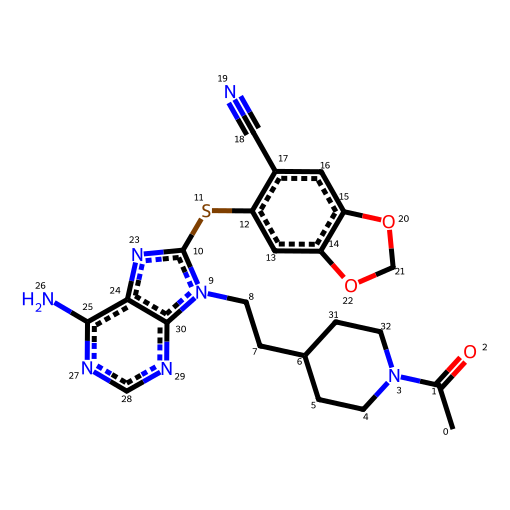 CC(=O)N1CCC(CCn2c(Sc3cc4c(cc3C#N)OCO4)nc3c(N)ncnc32)CC1